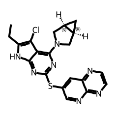 CCc1[nH]c2nc(Sc3cnc4nccnc4c3)nc(N3C[C@H]4C[C@H]4C3)c2c1Cl